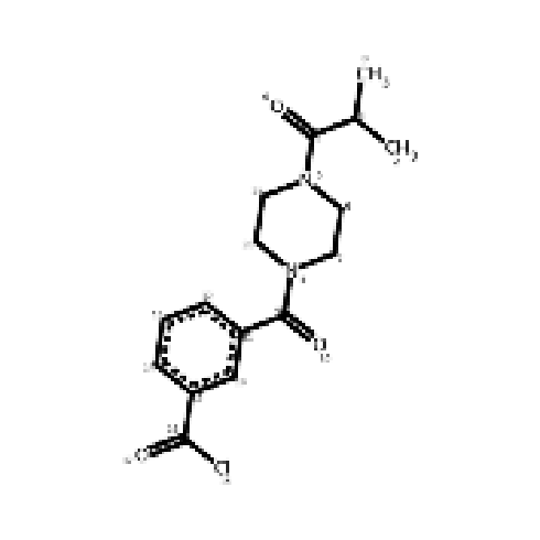 CC(C)C(=O)N1CCN(C(=O)c2cccc(C(=O)Cl)c2)CC1